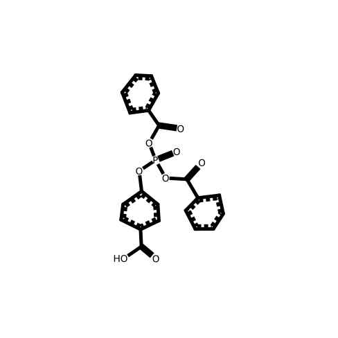 O=C(O)c1ccc(OP(=O)(OC(=O)c2ccccc2)OC(=O)c2ccccc2)cc1